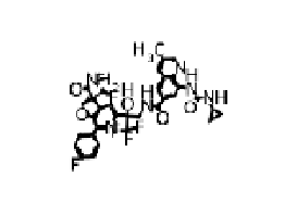 Cc1cnc2c(NC(=O)NC3CC3)cc(C(=O)NCC(O)(c3cc4c(c(-c5ccc(F)cc5)n3)OC[C@@]4(C(N)=O)C(F)F)C(F)(F)F)cc2c1